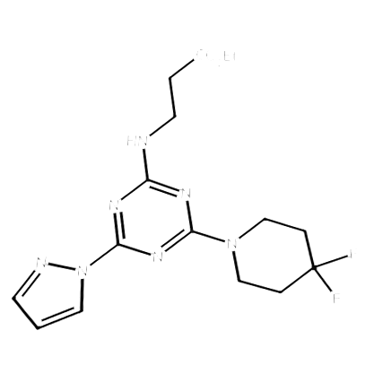 CCOC(=O)CCNc1nc(N2CCC(F)(F)CC2)nc(-n2cccn2)n1